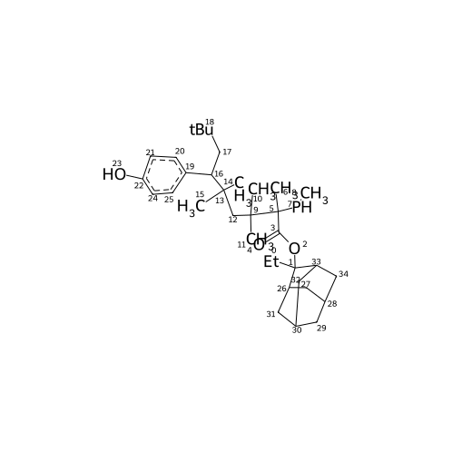 CCC1(OC(=O)C(C)(PC)C(C)(C)CC(C)(C)C(CC(C)(C)C)c2ccc(O)cc2)C2CC3CC(C2)CC1C3